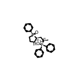 C[C@H](C[C@H]1CCC[P@@]1(=O)c1ccccc1)[PH](O)(c1ccccc1)c1ccccc1